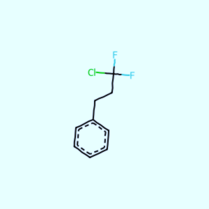 FC(F)(Cl)CCc1ccccc1